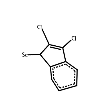 ClC1=C(Cl)[CH]([Sc])c2ccccc21